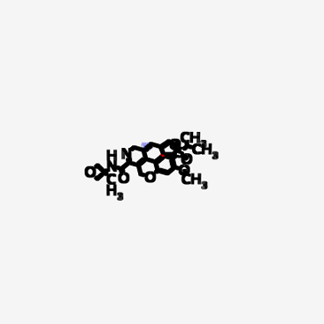 COc1cc2c(cc1S(=O)(=O)C(C)C)C1=C(CO2)C(C(=O)NC2(C)COC2)=NC/C1=C/c1ccsc1